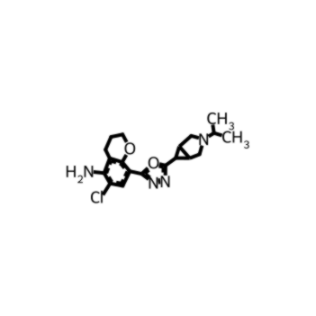 CC(C)N1CC2C(C1)C2c1nnc(-c2cc(Cl)c(N)c3c2OCCC3)o1